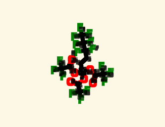 O=C(O[Si](CCC(F)(F)C(F)(F)C(F)(F)F)(OC(=O)C(F)(F)F)OC(=O)C(F)(F)F)C(F)(F)F